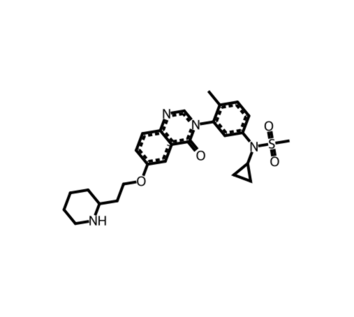 Cc1ccc(N(C2CC2)S(C)(=O)=O)cc1-n1cnc2ccc(OCCC3CCCCN3)cc2c1=O